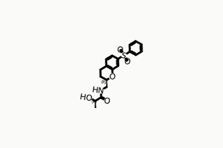 C[C@@H](O)C(=O)NC[C@H]1CCc2ccc(S(=O)(=O)c3ccccc3)cc2O1